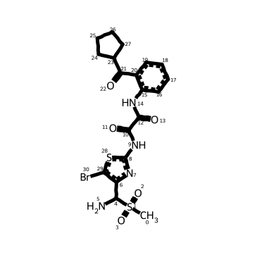 CS(=O)(=O)C(N)c1nc(NC(=O)C(=O)Nc2ccccc2C(=O)C2CCCC2)sc1Br